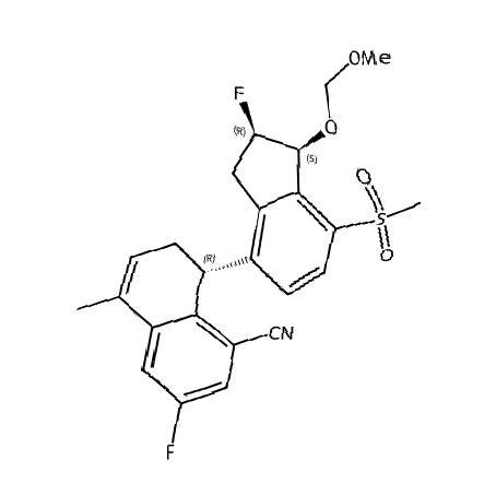 COCO[C@H]1c2c(S(C)(=O)=O)ccc([C@H]3CC=C(C)c4cc(F)cc(C#N)c43)c2C[C@H]1F